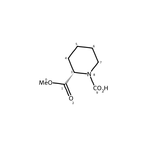 COC(=O)[C@@H]1CCCCN1C(=O)O